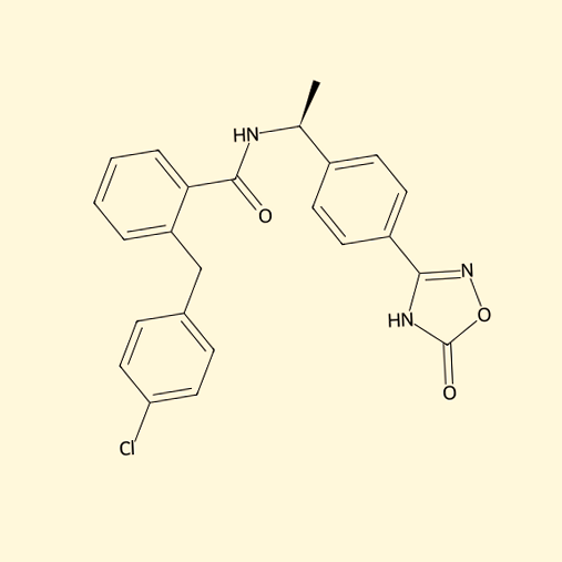 C[C@H](NC(=O)c1ccccc1Cc1ccc(Cl)cc1)c1ccc(-c2noc(=O)[nH]2)cc1